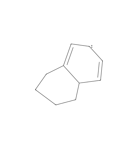 [C]1C=CC2CCCCC2=C1